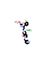 COCC(=O)NC(CCN1CCC2(CC1)CCN(Cc1cccnc1)C2=O)c1cccc(Cl)c1.Cl.Cl